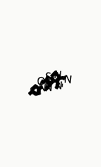 Cc1ccc(-n2cnc3c(sc4cnc(C#N)c(N(C)C)c43)c2=O)cc1